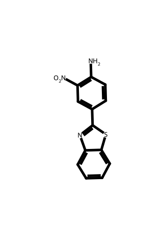 Nc1ccc(-c2nc3ccccc3s2)cc1[N+](=O)[O-]